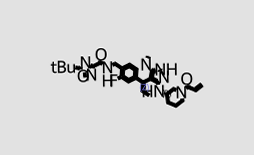 C=CC(=O)N1CCC[C@@H](Nc2n[nH]c(N=C)c2/C(=C\C)c2ccc(CNC(=O)c3noc(C(C)(C)C)n3)c(F)c2)C1